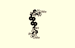 COC(=O)NC(C(=O)N1CCC[C@H]1c1ncc(-c2cccc3c(-c4cccc5c(-c6cnc([C@@H]7CCCN7C(=O)C(NC(=O)OC)C(C)C)[nH]6)cccc45)cccc23)[nH]1)C(C)C